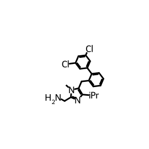 CC(C)c1nc(CN)n(C)c1Cc1ccccc1-c1cc(Cl)cc(Cl)c1